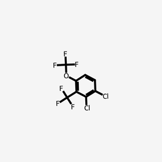 FC(F)(F)Oc1ccc(Cl)c(Cl)c1C(F)(F)F